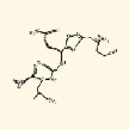 COC(=O)[C@@H](NC(=O)NC(CC(N)=O)c1nc([C@@H](N)CO)no1)C(C)O